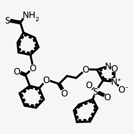 NC(=S)c1ccc(OC(=O)c2ccccc2OC(=O)CCOc2no[n+]([O-])c2S(=O)(=O)c2ccccc2)cc1